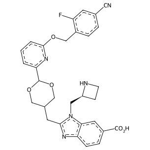 N#Cc1ccc(COc2cccc(C3OCC(Cc4nc5ccc(C(=O)O)cc5n4C[C@@H]4CCN4)CO3)n2)c(F)c1